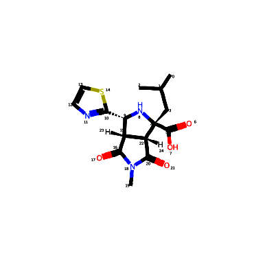 CC(C)C[C@]1(C(=O)O)N[C@@H](c2nccs2)[C@H]2C(=O)N(C)C(=O)[C@H]21